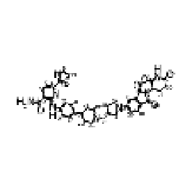 NC(=O)c1ncc(-c2nccs2)nc1Nc1ccc(C2CCN(C[C@@H]3CCN(c4ccc5c(c4)C(=O)N(C4CCC(=O)NC4=O)C5=O)C3)CC2)cc1